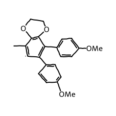 COc1ccc(-c2[c]c(C)c3c(c2-c2ccc(OC)cc2)OCCO3)cc1